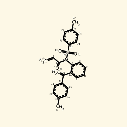 C=CC(=O)N(c1ccccc1C(=C)c1ccc(C)cc1)S(=O)(=O)c1ccc(C)cc1